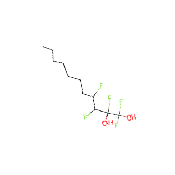 CCCCCCCC(F)C(F)C(O)(F)C(O)(F)F